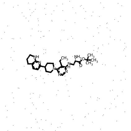 CCc1c(NC[C@H](N)C(=O)OC(C)(C)C)ncnc1N1CCC(c2ccc3c(n2)NCCC3)CC1